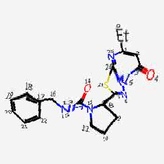 CCc1cc(=O)n2nc(C3CCCN3C(=O)NCc3ccccc3)sc2n1